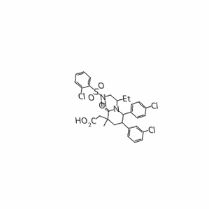 CCC(CNS(=O)(=O)c1ccccc1Cl)N1C(=O)C(C)(CC(=O)O)CC(c2cccc(Cl)c2)C1c1ccc(Cl)cc1